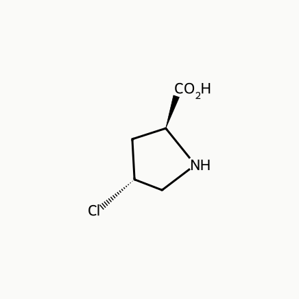 O=C(O)[C@@H]1C[C@@H](Cl)CN1